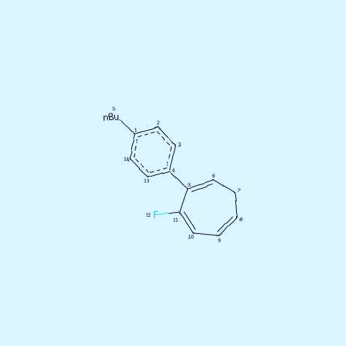 CCCCc1ccc(C2=CCC=CC=C2F)cc1